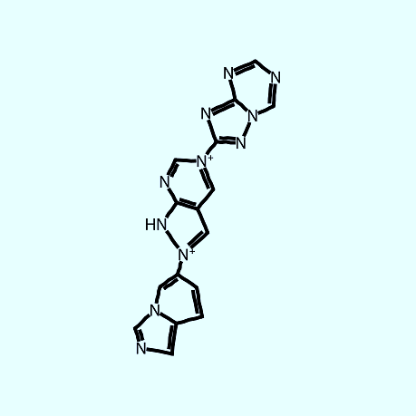 c1ncn2nc(-[n+]3cnc4[nH][n+](-c5ccc6cncn6c5)cc4c3)nc2n1